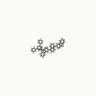 c1ccc(-c2cc(-c3ccccc3)nc(-n3c4ccccc4c4cc(-c5cccc6c(-c7ccc8oc9ccccc9c8c7)cccc56)ccc43)n2)cc1